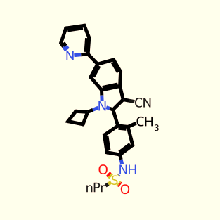 CCCS(=O)(=O)Nc1ccc(C2C(C#N)c3ccc(-c4ccccn4)cc3N2C2CCC2)c(C)c1